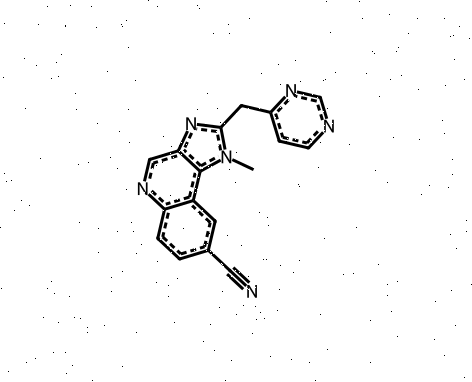 Cn1c(Cc2ccncn2)nc2cnc3ccc(C#N)cc3c21